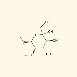 CO[C@H]1OC(O)(CO)[C@@H](O)[C@H](O)[C@H]1OC